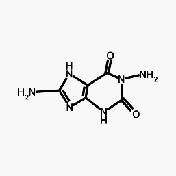 Nc1nc2[nH]c(=O)n(N)c(=O)c2[nH]1